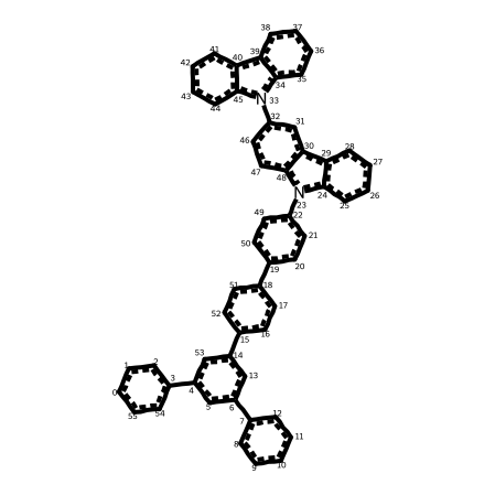 c1ccc(-c2cc(-c3ccccc3)cc(-c3ccc(-c4ccc(-n5c6ccccc6c6cc(-n7c8ccccc8c8ccccc87)ccc65)cc4)cc3)c2)cc1